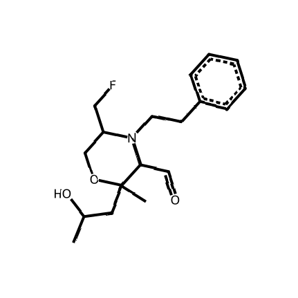 CC(O)CC1(C)OCC(CF)N(CCc2ccccc2)C1C=O